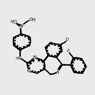 ON(O)c1ccc(Nc2ncc3c(n2)-c2ccc(Cl)cc2C(c2ccccc2F)=NC3)cc1